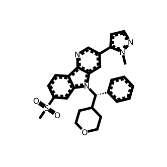 Cn1nccc1-c1cnc2c3ccc(S(C)(=O)=O)cc3n([C@H](c3ccccc3)C3CCOCC3)c2c1